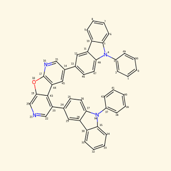 c1ccc(-n2c3ccccc3c3cc(-c4cnc5oc6cncc(-c7ccc8c(c7)c7ccccc7n8-c7ccccc7)c6c5c4)ccc32)cc1